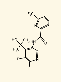 CC(C)(O)c1c(NC(=O)c2cccc(C(F)(F)F)n2)cnc(F)c1F